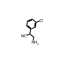 N#CC(CN)c1cccc(Cl)c1